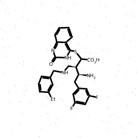 CCc1cccc(CNC[C@@H](C(Sc2[nH]c(=O)nc3ccccc23)C(=O)O)[C@@H](N)Cc2cc(F)cc(F)c2)c1